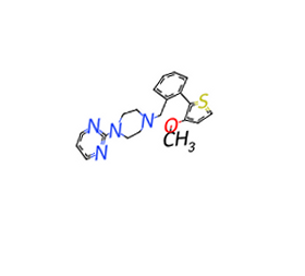 COc1ccsc1-c1ccccc1CN1CCN(c2ncccn2)CC1